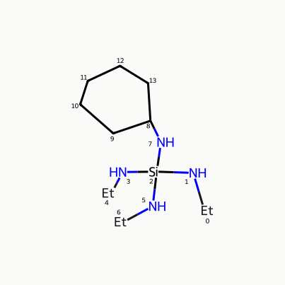 CCN[Si](NCC)(NCC)NC1CCCCC1